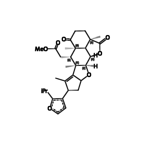 COC(=O)C[C@H]1[C@]2(C)C3=C(C)C(c4ccoc4C(C)C)CC3O[C@@H]2[C@@H]2OC(=O)[C@]3(C)CCC(=O)[C@@]1(C)C23